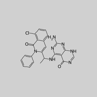 CC(Nc1nc(N)nc2[nH]cnc(=O)c12)c1cc2cccc(Cl)c2c(=O)n1-c1ccccc1